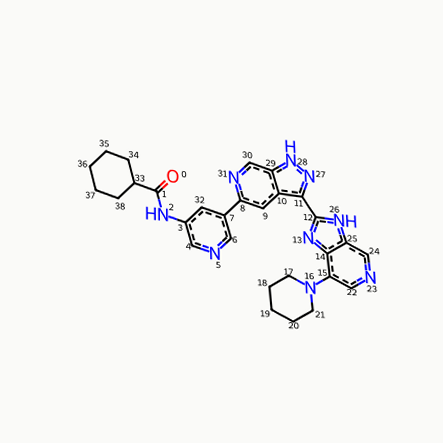 O=C(Nc1cncc(-c2cc3c(-c4nc5c(N6CCCCC6)cncc5[nH]4)n[nH]c3cn2)c1)C1CCCCC1